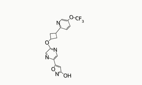 Oc1cc(-c2cnc(OC3CC(c4ccc(OC(F)(F)F)cn4)C3)cn2)on1